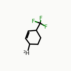 [2H]C1C=CC(C(F)(F)F)CC1